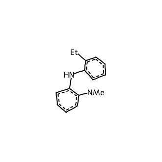 CCc1ccccc1Nc1ccccc1NC